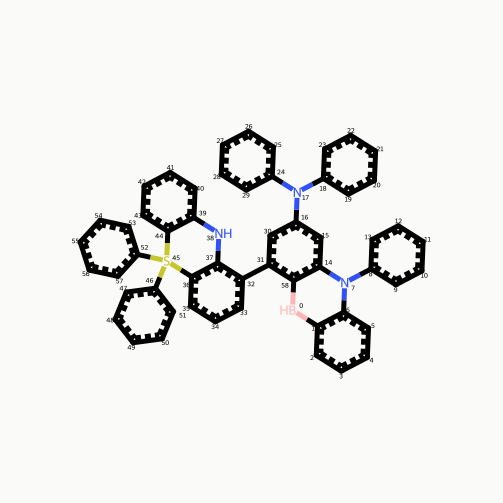 B1c2ccccc2N(c2ccccc2)c2cc(N(c3ccccc3)c3ccccc3)cc(-c3cccc4c3Nc3ccccc3S4(c3ccccc3)c3ccccc3)c21